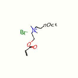 C=CC(=O)OCC[N+](C)(C)CCCCCCCCCC.[Br-]